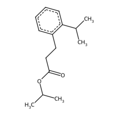 CC(C)OC(=O)CCc1ccccc1C(C)C